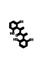 C=C(C(=O)C(=C)c1c(O)cccc1S)c1c(O)cccc1S